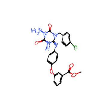 COC(=O)c1cccc(Oc2ccc(/N=c3\[nH]c(=O)n(N)c(=O)n3Cc3ccc(Cl)cc3)cc2)c1